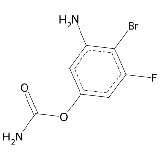 NC(=O)Oc1cc(N)c(Br)c(F)c1